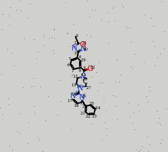 Cc1nc(-c2cccc(C(=O)N3CCN(c4nccc(-c5ccccc5)n4)CC3)c2)no1